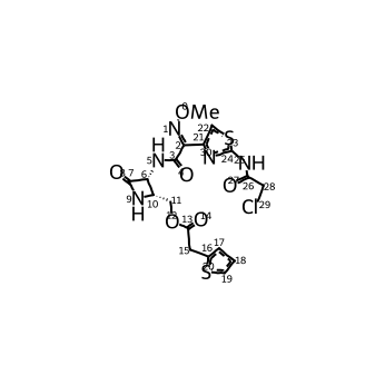 CON=C(C(=O)N[C@H]1C(=O)N[C@H]1COC(=O)Cc1cccs1)c1csc(NC(=O)CCl)n1